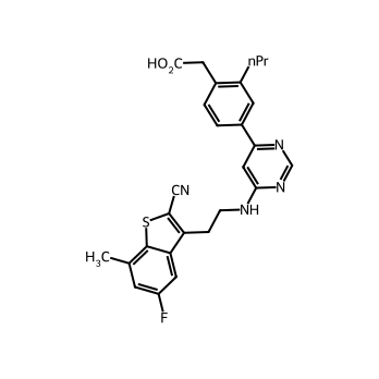 CCCc1cc(-c2cc(NCCc3c(C#N)sc4c(C)cc(F)cc34)ncn2)ccc1CC(=O)O